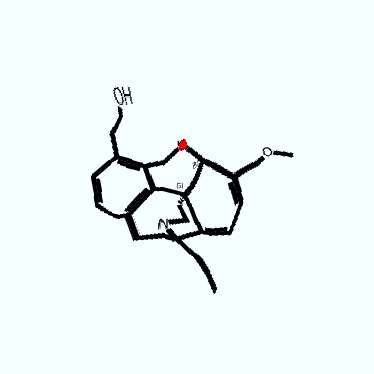 COC1=CC=C2C3Cc4ccc(CO)c5c4[C@@]2(CCN3C)[C@H]1O5